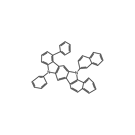 c1ccc(-c2cccc3c2c2cc4c(cc2n3-c2ccccc2)c2ccc3ccccc3c2n4-c2ccc3ccccc3c2)cc1